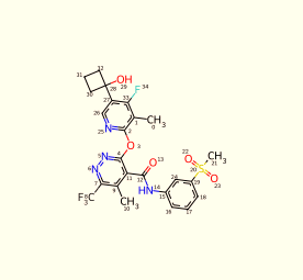 Cc1c(Oc2nnc(C(F)(F)F)c(C)c2C(=O)Nc2cccc(S(C)(=O)=O)c2)ncc(C2(O)CCC2)c1F